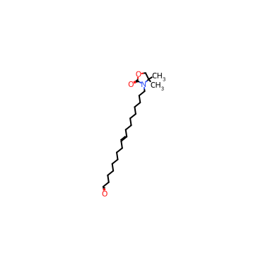 CC1(C)COC(=O)N1CCCCCCCCC=CCCCCCCCC=O